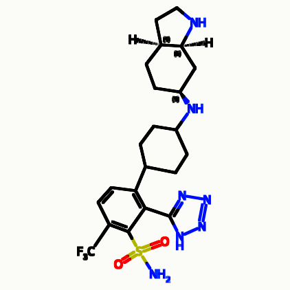 NS(=O)(=O)c1c(C(F)(F)F)ccc(C2CCC(N[C@H]3CC[C@H]4CCN[C@H]4C3)CC2)c1-c1nnn[nH]1